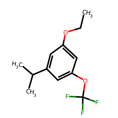 CCOc1cc(OC(F)(F)F)cc(C(C)C)c1